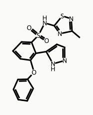 Cc1nsc(NS(=O)(=O)c2cccc(Oc3ccccc3)c2-c2ccn[nH]2)n1